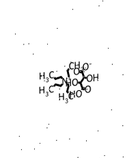 CCC[N+](CCC)(CCC)CCC.O=C([O-])C(O)C(O)C(=O)O